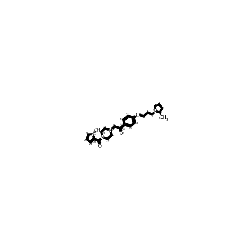 C[C@@H]1CCCN1CCCOc1ccc(C(=O)CN2CCN(C(=O)c3cccn3C)CC2)cc1